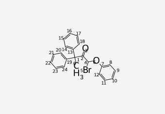 CC(C(=O)C(Br)Oc1ccccc1)(c1ccccc1)c1ccccc1